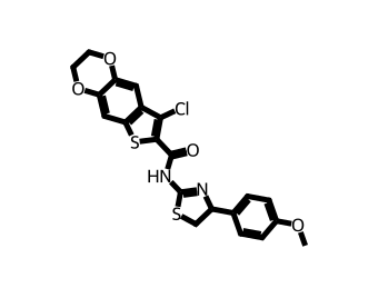 COc1ccc(C2CSC(NC(=O)c3sc4cc5c(cc4c3Cl)OCCO5)=N2)cc1